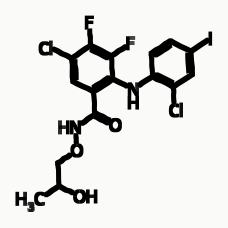 CC(O)CONC(=O)c1cc(Cl)c(F)c(F)c1Nc1ccc(I)cc1Cl